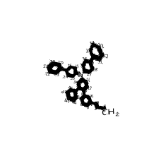 C=CCCc1cccc(-c2ccc(N(C3=CCC(c4ccccc4)C=C3)C3=CC=C(C4=CC=CCC4)CC3)cc2-c2ccccc2)c1